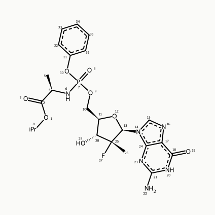 CC(C)OC(=O)[C@@H](C)NP(=O)(OC[C@H]1O[C@@H](n2cnc3c(=O)[nH]c(N)nc32)[C@](C)(F)[C@@H]1O)Oc1ccccc1